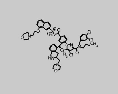 CCCCN(Cc1ccc(Cl)c(Cl)c1)C(=O)c1nn(-c2ccc(C(=O)NS(=O)(=O)c3ccc4cccc(OCCN5CCOCC5)c4c3)cc2C(=O)c2cccc3c2CC(CN2CCOCC2)NC3)c(C)c1Cl